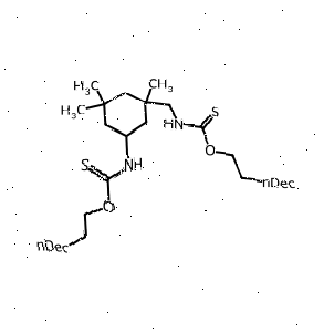 CCCCCCCCCCCCOC(=S)NCC1(C)CC(NC(=S)OCCCCCCCCCCCC)CC(C)(C)C1